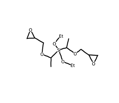 CCO[Si](OCC)(C(C)OCC1CO1)C(C)OCC1CO1